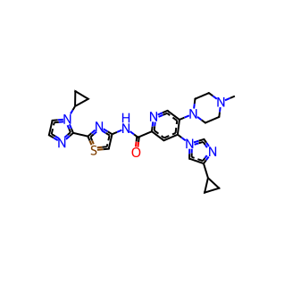 CN1CCN(c2cnc(C(=O)Nc3csc(-c4nccn4C4CC4)n3)cc2-n2cnc(C3CC3)c2)CC1